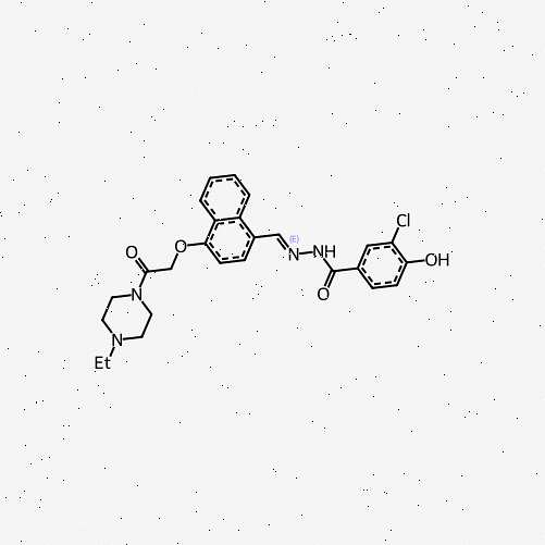 CCN1CCN(C(=O)COc2ccc(/C=N/NC(=O)c3ccc(O)c(Cl)c3)c3ccccc23)CC1